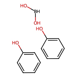 OBO.Oc1ccccc1.Oc1ccccc1